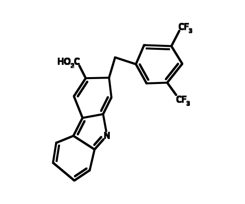 O=C(O)C1=CC2=c3ccccc3=NC2=CC1Cc1cc(C(F)(F)F)cc(C(F)(F)F)c1